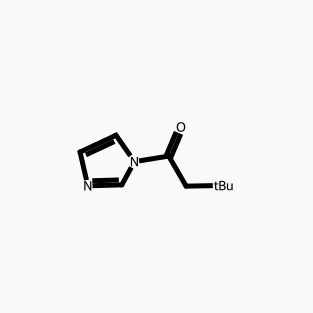 CC(C)(C)CC(=O)n1ccnc1